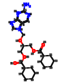 Nc1ncc2c(ncn2COC(COC(=O)C2CCCCC2)COC(=O)C2CCCCC2)n1